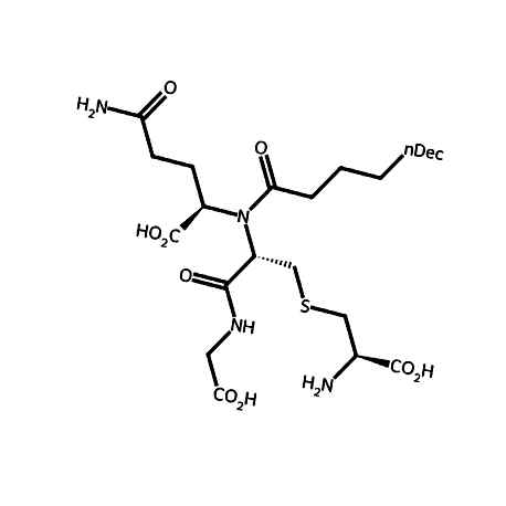 CCCCCCCCCCCCCC(=O)N([C@H](CCC(N)=O)C(=O)O)[C@H](CSC[C@H](N)C(=O)O)C(=O)NCC(=O)O